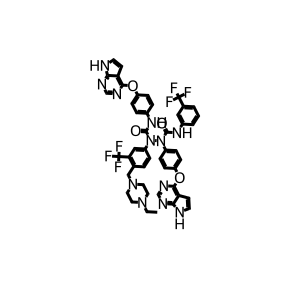 CCN1CCN(Cc2ccc(N(C(=O)Nc3ccc(Oc4ncnc5[nH]ccc45)cc3)N(C(=O)Nc3cccc(C(F)(F)F)c3)c3ccc(Oc4ncnc5[nH]ccc45)cc3)cc2C(F)(F)F)CC1